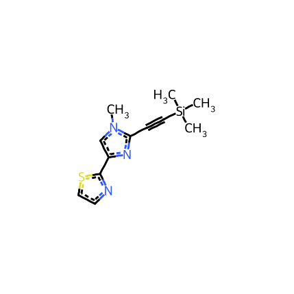 Cn1cc(-c2nccs2)nc1C#C[Si](C)(C)C